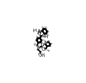 C[C@H](OC(=O)N(CCO)[C@H](C)c1ccc(C(=O)Nc2ccccc2N)cc1)c1cccnc1